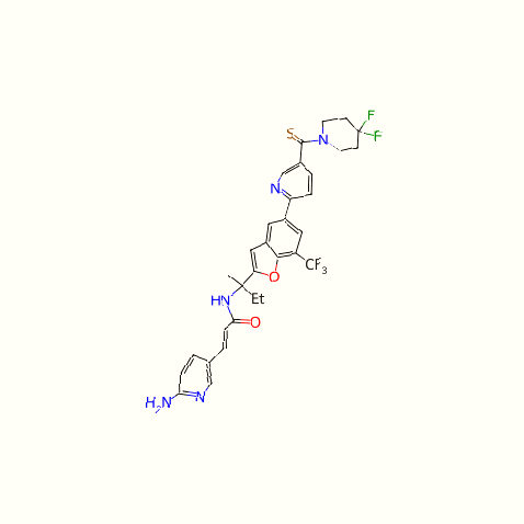 CCC(C)(NC(=O)C=Cc1ccc(N)nc1)c1cc2cc(-c3ccc(C(=S)N4CCC(F)(F)CC4)cn3)cc(C(F)(F)F)c2o1